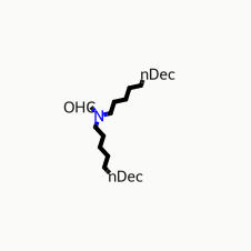 CCCCCCCCCCCCCCCN(C=O)CCCCCCCCCCCCCCC